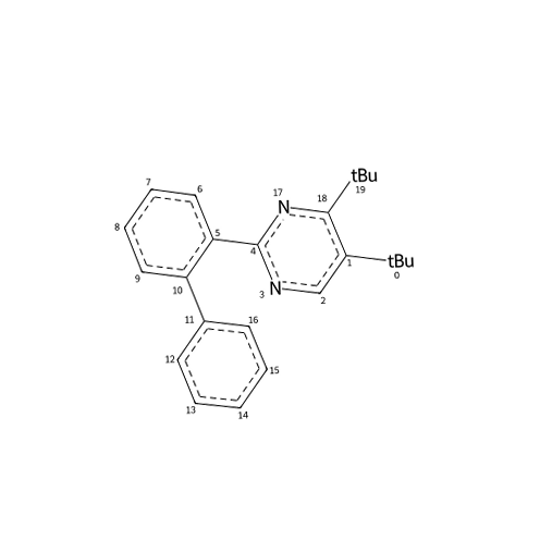 CC(C)(C)c1cnc(-c2ccccc2-c2ccccc2)nc1C(C)(C)C